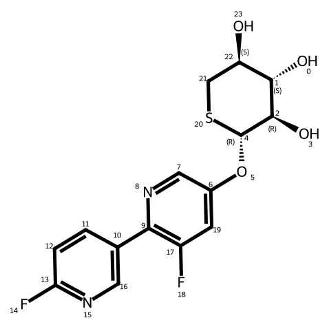 O[C@@H]1[C@@H](O)[C@H](Oc2cnc(-c3ccc(F)nc3)c(F)c2)SC[C@H]1O